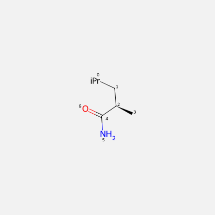 CC(C)C[C@@H](C)C(N)=O